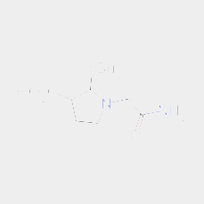 CCCCC1C(C(=O)O)CCN1CC(N)=O